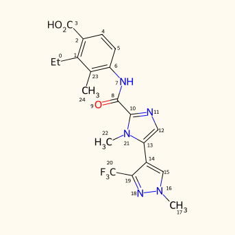 CCc1c(C(=O)O)ccc(NC(=O)c2ncc(-c3cn(C)nc3C(F)(F)F)n2C)c1C